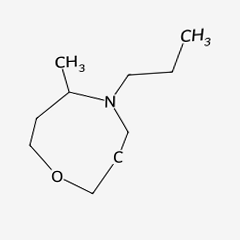 CCCN1CCCOCCC1C